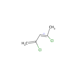 C=C(Cl)/C=C(/C)Cl